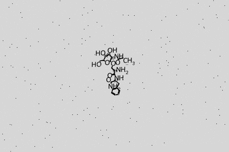 CCC(=O)N[C@@H]1C(OC[C@H](N)C(=O)N[C@@H](Cc2ccccc2)C(N)=O)OC(CO)[C@@H](O)[C@@H]1O